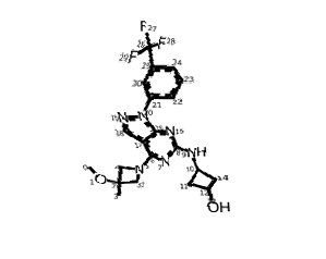 COC1(C)CN(c2nc(NC3CC(O)C3)nc3c2cnn3-c2cccc(C(F)(F)F)c2)C1